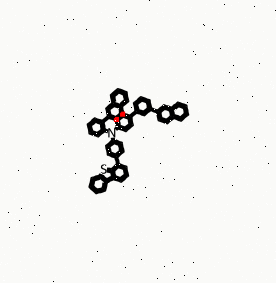 c1cc(-c2ccc(N(c3ccc(-c4cccc5c4sc4ccccc45)cc3)c3ccccc3-c3ccc4ccccc4c3)cc2)cc(-c2ccc3ccccc3c2)c1